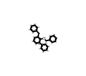 c1ccc(COc2c(Cc3ccccc3)cccc2-c2ccccc2)cc1